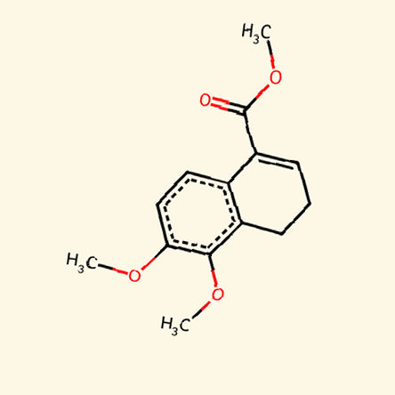 COC(=O)C1=CCCc2c1ccc(OC)c2OC